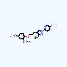 COc1cc(OC(C)=O)ccc1OCCCc1cn(-c2ccc(C(F)(F)F)cn2)nc1C(C)C